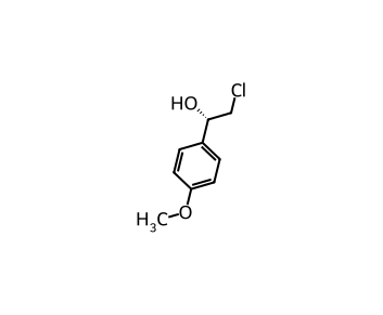 COc1ccc([C@H](O)CCl)cc1